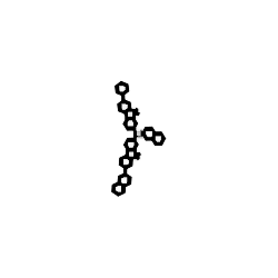 CC1(C)c2cc(-c3ccccc3)ccc2-c2ccc(N(c3ccc4c(c3)C(C)(C)c3cc(-c5ccc6ccccc6c5)ccc3-4)c3ccc4ccccc4c3)cc21